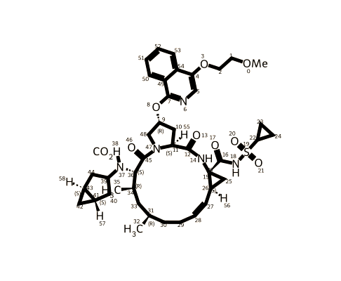 COCCOc1cnc(O[C@@H]2C[C@H]3C(=O)N[C@]4(C(=O)NS(=O)(=O)C5CC5)C[C@H]4C=CCC[C@@H](C)C[C@@H](C)[C@H](N(C(=O)O)C4C[C@@H]5C[C@H]5C4)C(=O)N3C2)c2ccccc12